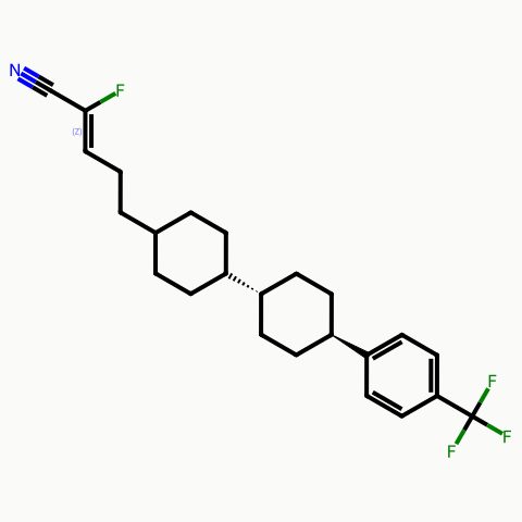 N#C/C(F)=C/CCC1CCC([C@H]2CC[C@H](c3ccc(C(F)(F)F)cc3)CC2)CC1